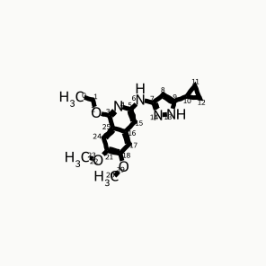 CCOc1nc(Nc2cc(C3CC3)[nH]n2)cc2cc(OC)c(OC)cc12